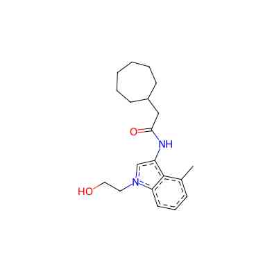 Cc1cccc2c1c(NC(=O)CC1CCCCCC1)cn2CCO